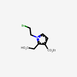 CCOC(=O)c1ccn(CCBr)c1CC(=O)O